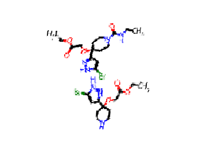 CCNC(=O)N1CCC(OCC(=O)OCC)(c2cc(Br)[nH]n2)CC1.CCOC(=O)COC1(c2cc(Br)[nH]n2)CCNCC1